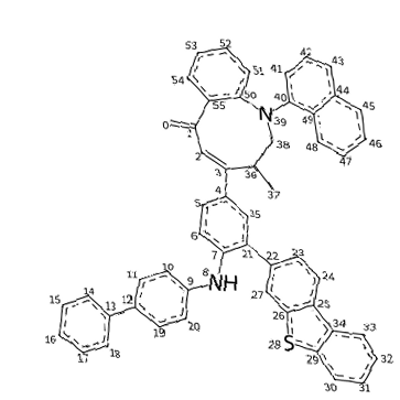 C=C1/C=C(/c2ccc(Nc3ccc(-c4ccccc4)cc3)c(-c3ccc4c(c3)sc3ccccc34)c2)C(C)CN(c2cccc3ccccc23)c2ccccc21